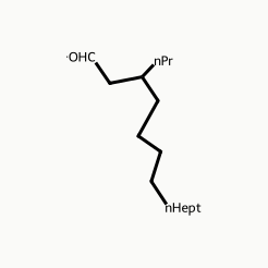 CCCCCCCCCCCC(C[C]=O)CCC